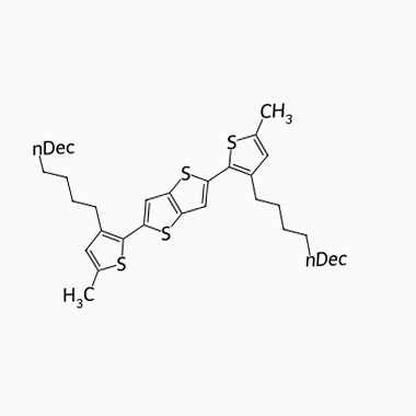 CCCCCCCCCCCCCCc1cc(C)sc1-c1cc2sc(-c3sc(C)cc3CCCCCCCCCCCCCC)cc2s1